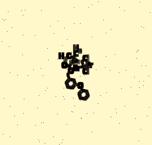 CC1(C)[C@H](C(=O)OCc2cccc(Oc3ccccc3)c2)[C@H]1C(Cl)C(Cl)(Br)Br